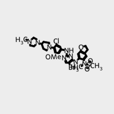 COc1cc(N2CCC(N3CCN(C)CC3)CC2)c(Cl)cc1Nc1ncc(Br)c(Nc2cc3c(cc2N(C)S(C)(=O)=O)CCO3)n1